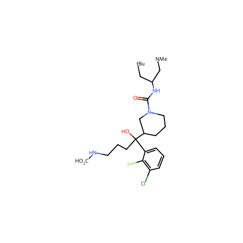 CNCC(CC(C)(C)C)NC(=O)N1CCCC(C(O)(CCCNC(=O)O)c2cccc(Cl)c2F)C1